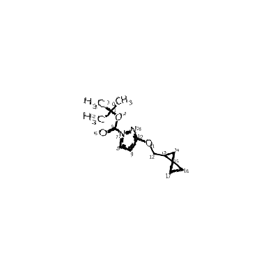 CC(C)(C)OC(=O)n1ccc(OCC2CC23CC3)n1